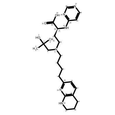 CC(C)(O)CN(CCCCc1ccc2c(n1)NCCC2)CC[C@H](Nc1ccncn1)C(=O)O